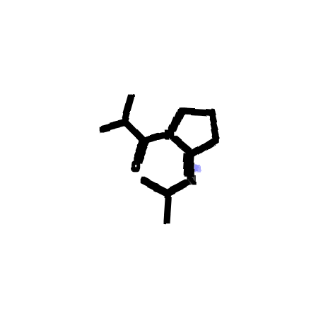 CC(C)/N=C1/CCCN1C(=O)C(C)C